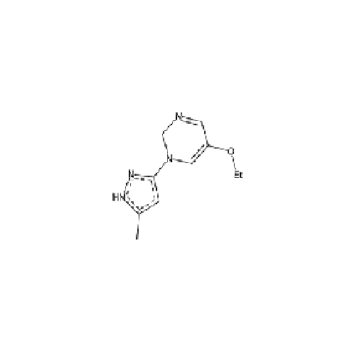 CCOC1=CN(c2cc(C)[nH]n2)CN=C1